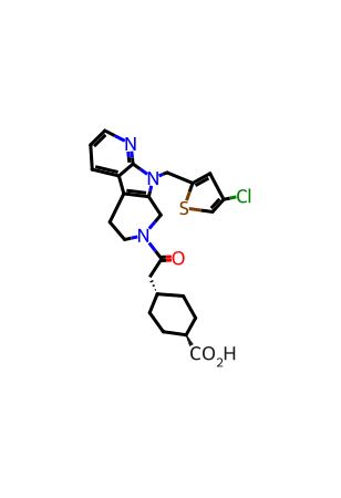 O=C(C[C@H]1CC[C@H](C(=O)O)CC1)N1CCc2c(n(Cc3cc(Cl)cs3)c3ncccc23)C1